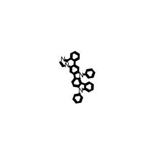 c1ccc(-n2c3ccccc3c3c2ccc2c4cc5c(cc4n(-c4ccccc4)c23)c2ccccc2c2nccn52)cc1